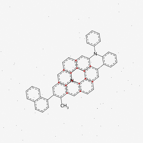 Cc1cc(N(c2ccccc2)c2ccccc2-c2cccc(-c3ccccc3N(c3ccccc3)c3ccc(-c4cccc5ccccc45)cc3)c2)ccc1-c1cccc2ccccc12